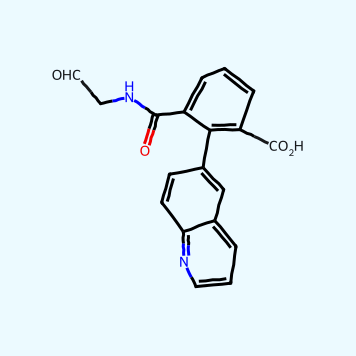 O=CCNC(=O)c1cccc(C(=O)O)c1-c1ccc2ncccc2c1